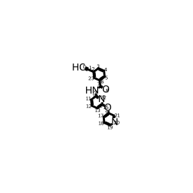 C#Cc1cccc(C(=O)Nc2cccc(Oc3cccnc3)n2)c1